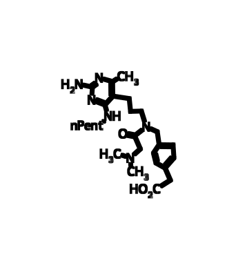 CCCCCNc1nc(N)nc(C)c1CCCN(Cc1ccc(CC(=O)O)cc1)C(=O)CN(C)C